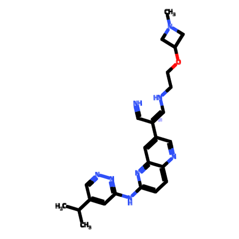 CC(C)c1cnnc(Nc2ccc3ncc(/C(C=N)=C/NCCOC4CN(C)C4)cc3n2)c1